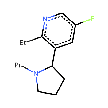 CCc1ncc(F)cc1C1CCCN1C(C)C